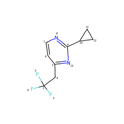 FC(F)(F)Cc1c[c]nc(C2CC2)n1